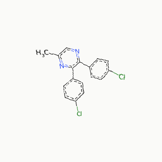 Cc1cnc(-c2ccc(Cl)cc2)c(-c2ccc(Cl)cc2)n1